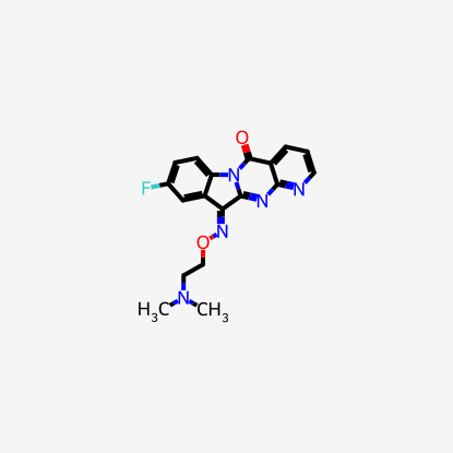 CN(C)CCON=C1c2cc(F)ccc2-n2c1nc1ncccc1c2=O